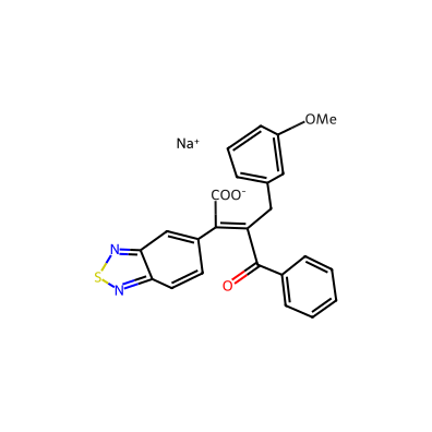 COc1cccc(C/C(C(=O)c2ccccc2)=C(\C(=O)[O-])c2ccc3nsnc3c2)c1.[Na+]